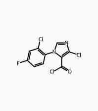 O=C(Cl)c1c(Cl)ncn1-c1ccc(F)cc1Cl